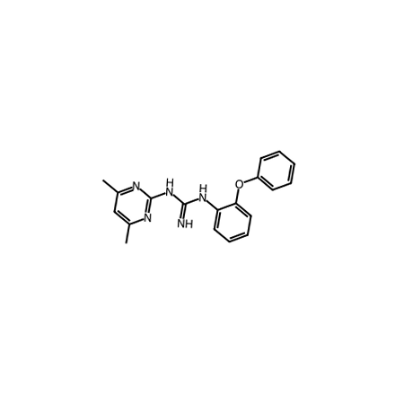 Cc1cc(C)nc(NC(=N)Nc2ccccc2Oc2ccccc2)n1